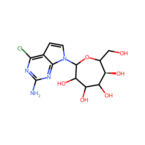 Nc1nc(Cl)c2ccn(C3OC(CO)[C@@H](O)C(O)C(O)C3O)c2n1